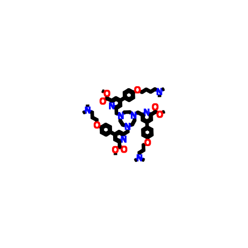 COC(=O)c1cc(-c2ccc(OCCCCN(C)C)cc2)cc(CN2CCN(Cc3cc(-c4ccc(OCCCN(C)C)cc4)cc(C(=O)OC)n3)CCN(Cc3cc(-c4ccc(OCCCN(C)C)cc4)cc(C(=O)OC)n3)CC2)n1